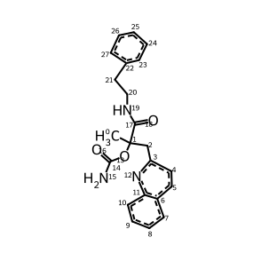 CC(Cc1ccc2ccccc2n1)(OC(N)=O)C(=O)NCCc1ccccc1